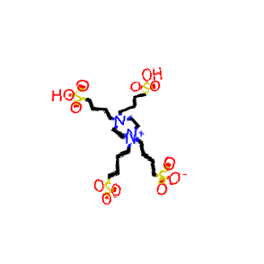 O=S(=O)([O-])CCCC[N+]1(CCCCS(=O)(=O)[O-])CC[N+](CCCCS(=O)(=O)O)(CCCCS(=O)(=O)O)CC1